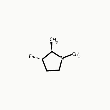 C[C@@H]1[C@@H](F)CCN1C